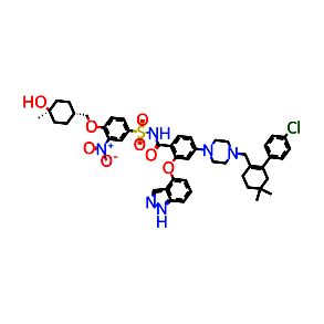 CC1(C)CCC(CN2CCN(c3ccc(C(=O)NS(=O)(=O)c4ccc(OC[C@H]5CC[C@](C)(O)CC5)c([N+](=O)[O-])c4)c(Oc4cccc5[nH]ncc45)c3)CC2)=C(c2ccc(Cl)cc2)C1